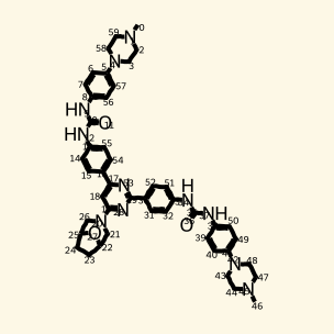 CN1CCN(c2ccc(NC(=O)Nc3ccc(-c4cc(N5CC6CCC(C5)O6)nc(-c5ccc(NC(=O)Nc6ccc(N7CCN(C)CC7)cc6)cc5)n4)cc3)cc2)CC1